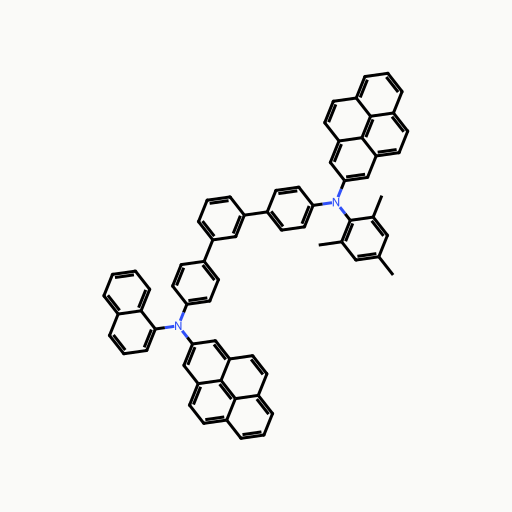 Cc1cc(C)c(N(c2ccc(-c3cccc(-c4ccc(N(c5cc6ccc7cccc8ccc(c5)c6c78)c5cccc6ccccc56)cc4)c3)cc2)c2cc3ccc4cccc5ccc(c2)c3c45)c(C)c1